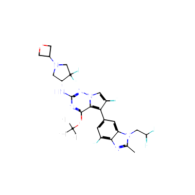 [2H]C([2H])([2H])Oc1nc(N[C@@H]2CN(C3COC3)CC2(F)F)nn2cc(F)c(-c3cc(F)c4nc(C)n(CC(F)F)c4c3)c12